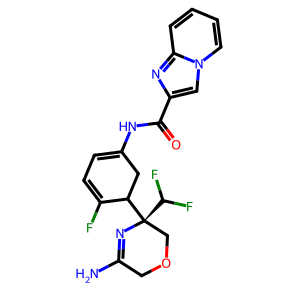 NC1=N[C@](C(F)F)(C2CC(NC(=O)c3cn4ccccc4n3)=CC=C2F)COC1